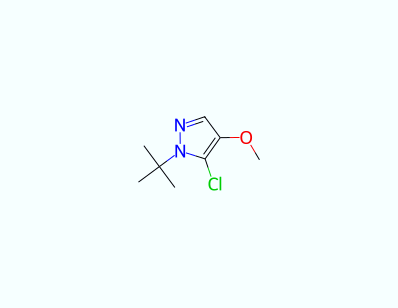 COc1cnn(C(C)(C)C)c1Cl